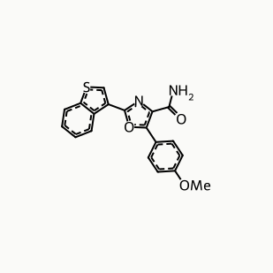 COc1ccc(-c2oc(-c3csc4ccccc34)nc2C(N)=O)cc1